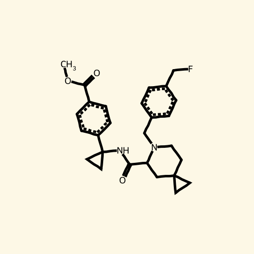 COC(=O)c1ccc(C2(NC(=O)C3CC4(CCN3Cc3ccc(CF)cc3)CC4)CC2)cc1